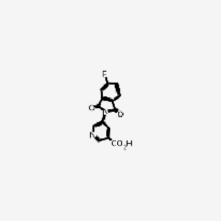 O=C(O)c1cncc(N2C(=O)c3ccc(F)cc3C2=O)c1